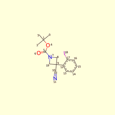 CC(C)(C)OC(=O)N1CC(C#N)(c2ccccc2I)C1